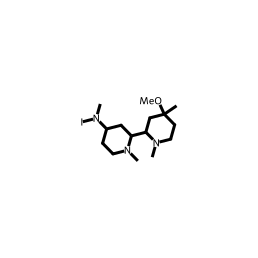 COC1(C)CCN(C)C(C2CC(N(C)I)CCN2C)C1